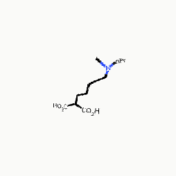 CCCN(C)CCCCC(C(=O)O)C(=O)O